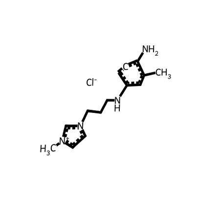 Cc1cc(NCCCn2cc[n+](C)c2)ccc1N.[Cl-]